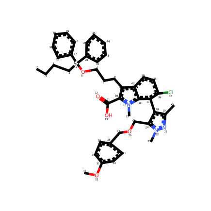 CCCC[Si](OCCCc1c(C(=O)O)n(C)c2c(-c3c(C)nn(C)c3COCc3ccc(OC)cc3)c(Cl)ccc12)(c1ccccc1)c1ccccc1